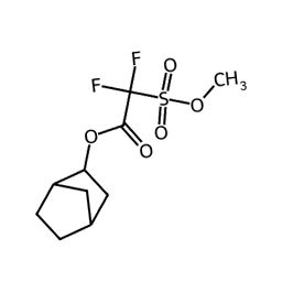 COS(=O)(=O)C(F)(F)C(=O)OC1CC2CCC1C2